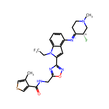 Cc1cscc1C(=O)NCc1nc(-c2cc3c(/N=C4\CCN(C)C[C@@H]4F)cccc3n2CC(F)(F)F)no1